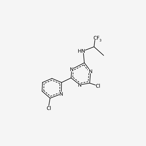 CC(Nc1nc(Cl)nc(-c2cccc(Cl)n2)n1)C(F)(F)F